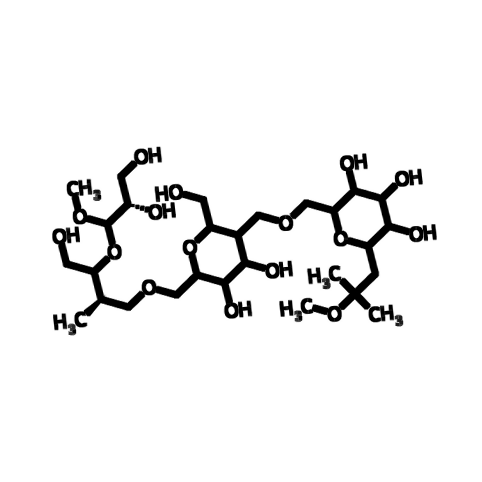 COC(OC(CO)[C@H](C)COCC1OC(CO)C(COCC2OC(CC(C)(C)OC)C(O)C(O)C2O)C(O)C1O)[C@@H](O)CO